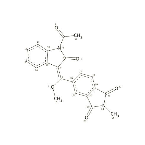 COC(=C1C(=O)N(C(C)=O)c2ccccc21)c1ccc2c(c1)C(=O)N(C)C2=O